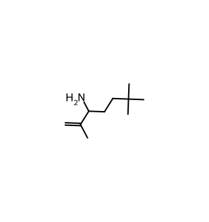 C=C(C)C(N)CCC(C)(C)C